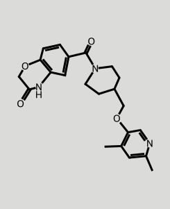 Cc1cc(C)c(OCC2CCN(C(=O)c3ccc4c(c3)NC(=O)CO4)CC2)cn1